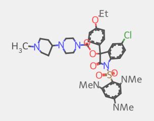 CCOc1ccc(C2(OC(=O)N3CCN(C4CCN(C)CC4)CC3)C(=O)N(S(=O)(=O)c3c(NC)cc(NC)cc3NC)c3ccc(Cl)cc32)cc1